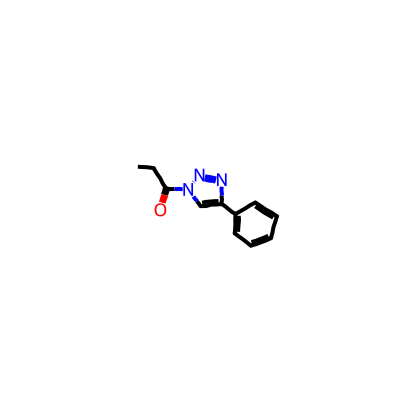 CCC(=O)n1cc(-c2ccccc2)nn1